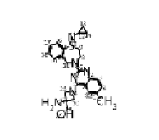 Cc1ccc2nc(N3CCS(=NC4CC4)c4ccccc4C3)nc(N3CC(N)(CO)C3)c2c1